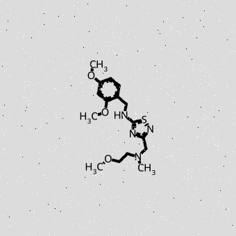 COCCN(C)Cc1nsc(NCc2ccc(OC)cc2OC)n1